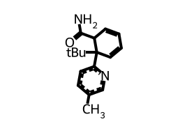 Cc1ccc(C2(C(C)(C)C)C=CC=CC2C(N)=O)nc1